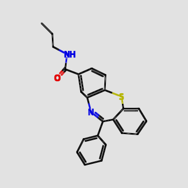 CCCNC(=O)c1ccc2c(c1)N=C(c1ccccc1)c1ccccc1S2